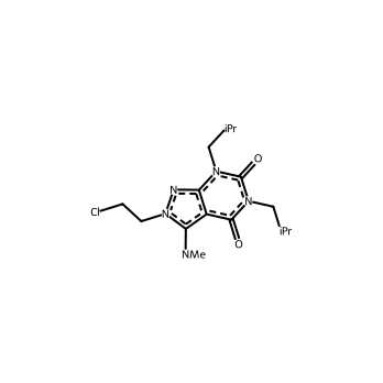 CNc1c2c(=O)n(CC(C)C)c(=O)n(CC(C)C)c2nn1CCCl